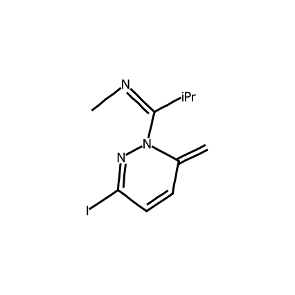 C=C1C=CC(I)=NN1/C(=N\C)C(C)C